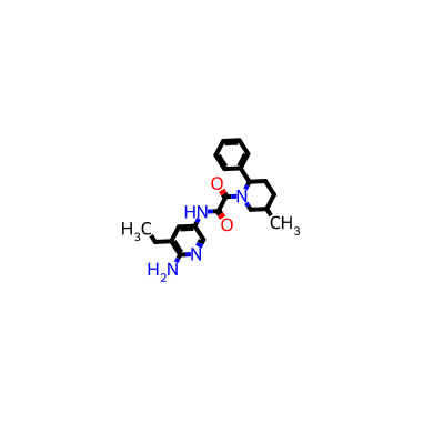 CCc1cc(NC(=O)C(=O)N2CC(C)CCC2c2ccccc2)cnc1N